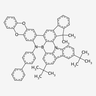 CC(C)(C)c1ccc2c(c1)c1cc(C(C)(C)C)cc3c1n2-c1c2c(cc4c1C(C)(C)c1ccccc1-4)-c1cc4c(cc1N(c1ccc(-c5ccccc5)cc1)B23)Oc1ccccc1O4